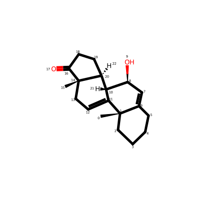 C[C@]12CCCCC1=C[C@H](O)[C@@H]1C2=CC[C@]2(C)C(=O)CC[C@@H]12